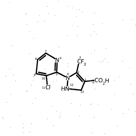 O=C(O)C1=C(C(F)(F)F)N(c2ncccc2Cl)NC1